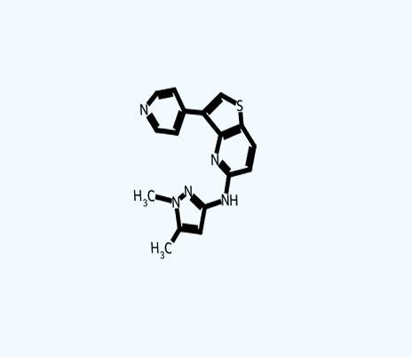 Cc1cc(Nc2ccc3scc(-c4ccncc4)c3n2)nn1C